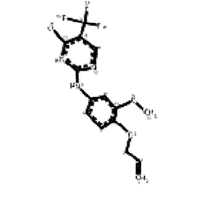 C=CCOc1ccc(Nc2ncc(C(F)(F)F)c(Cl)n2)cc1OC